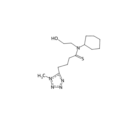 Cn1nnnc1CCCC(=S)N(CCO)C1CCCCC1